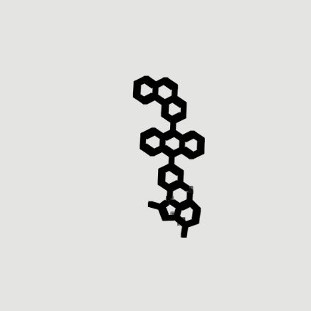 CC1=C[C@@H]2C3=C(C=CC2C)Sc2cc(-c4c5ccccc5c(-c5ccc6ccc7ccccc7c6c5)c5ccccc45)ccc2N13